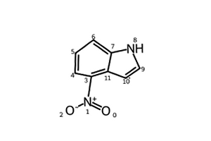 O=[N+]([O-])c1cccc2[nH]c[c]c12